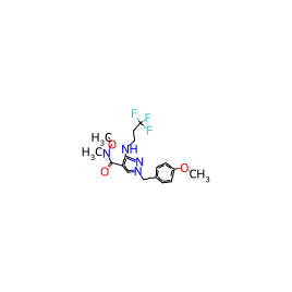 COc1ccc(Cn2cc(C(=O)N(C)OC)c(NCCC(F)(F)F)n2)cc1